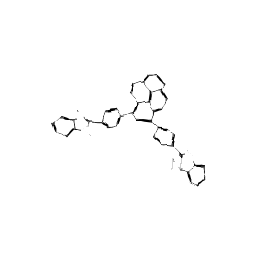 c1cc2ccc3c(-c4ccc(-c5nc6ccccc6s5)cc4)cc(-c4ccc(-c5nc6ccccc6s5)cc4)c4ccc(c1)c2c34